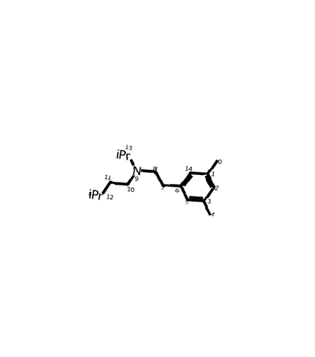 Cc1cc(C)cc(CCN(CCC(C)C)C(C)C)c1